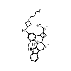 C[C@@H]1Cc2c([nH]c3ccccc23)[C@H]2c3c(F)cc(NC4CN(CCCF)C4)cc3C3C4(CC3([C@@H](C)O)C4)C21